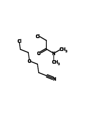 CN(C)C(=O)CCl.N#CCCOCCCl